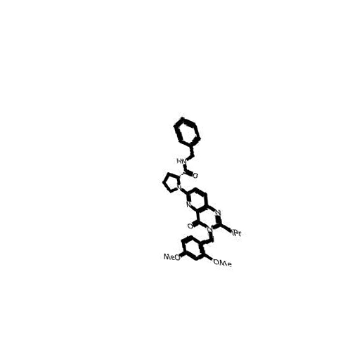 COc1ccc(Cn2c(C(C)C)nc3ccc(N4CCC[C@@H]4C(=O)NCc4ccccc4)nc3c2=O)c(OC)c1